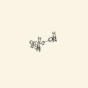 COc1cc2c(cc1OC)C(OC(=O)C(F)(F)F)C(NCc1ccc(-c3ccc4[nH]cnc4c3)cc1)C2